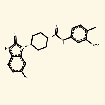 COc1cc(NC(=O)[C@H]2CC[C@@H](n3c(=O)[nH]c4ccc(F)cc43)CC2)ccc1C